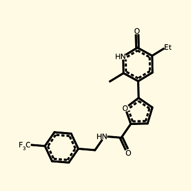 CCc1cc(-c2ccc(C(=O)NCc3ccc(C(F)(F)F)cc3)o2)c(C)[nH]c1=O